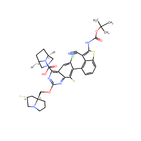 CC(C)(C)OC(=O)Nc1sc2cccc(-c3c(Cl)cc4c(N5C[C@H]6CC[C@@H](C5)N6C(=O)O)nc(OC[C@@]56CCCN5C[C@H](F)C6)nc4c3F)c2c1C#N